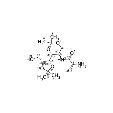 CC1(C)OC[C@@H](NC(=O)C(N)=O)[C@H]([C@@H]2OC(C)(C)O[C@@H]2CO)O1